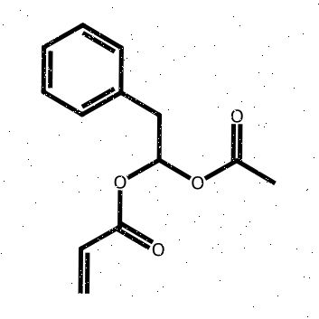 C=CC(=O)OC(Cc1ccccc1)OC(C)=O